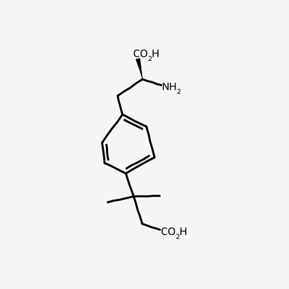 CC(C)(CC(=O)O)c1ccc(C[C@H](N)C(=O)O)cc1